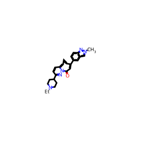 CCN1CCC(C2=NN3C(=O)\C=C(c4ccc5nn(C)cc5c4)/C=C/C=C/3C=C2)CC1